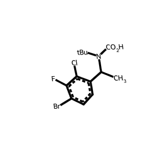 CC(c1ccc(Br)c(F)c1Cl)N(C(=O)O)C(C)(C)C